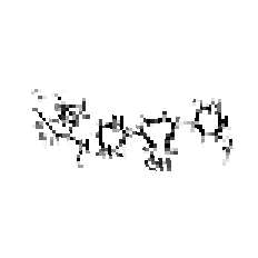 COc1cc(-c2ccc(-c3ncc(N(C)C4C[C@H]5CCC[C@H](C4)N5)nn3)c(O)c2)cnn1